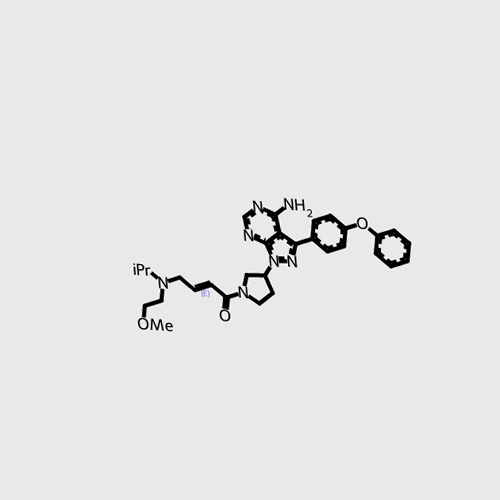 COCCN(C/C=C/C(=O)N1CCC(n2nc(-c3ccc(Oc4ccccc4)cc3)c3c(N)ncnc32)C1)C(C)C